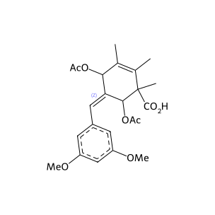 COc1cc(/C=C2/C(OC(C)=O)C(C)=C(C)C(C)(C(=O)O)C2OC(C)=O)cc(OC)c1